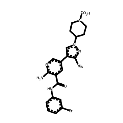 CCc1cccc(NC(=O)c2cc(-c3cn(C4CCN(C(=O)O)CC4)nc3C(C)(C)C)cnc2N)c1